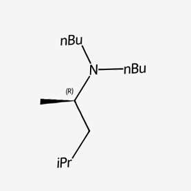 CCCCN(CCCC)[C@H](C)CC(C)C